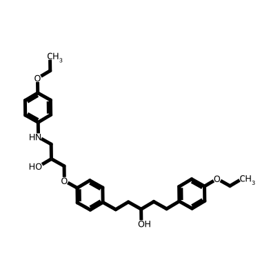 CCOc1ccc(CCC(O)CCc2ccc(OCC(O)CNc3ccc(OCC)cc3)cc2)cc1